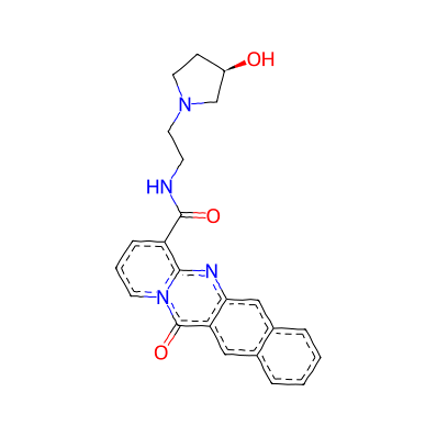 O=C(NCCN1CC[C@@H](O)C1)c1cccn2c(=O)c3cc4ccccc4cc3nc12